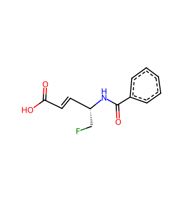 O=C(O)C=C[C@@H](CF)NC(=O)c1ccccc1